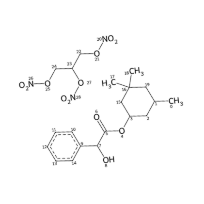 CC1CC(OC(=O)C(O)c2ccccc2)CC(C)(C)C1.O=[N+]([O-])OCC(CO[N+](=O)[O-])O[N+](=O)[O-]